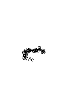 COc1ccc(S(=O)(=O)N(C)C2CCN(CCCOc3ccc(C(=O)C=Cc4cccs4)cc3)CC2)cc1